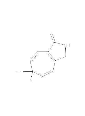 CC1(C)C=CC2=C(C=C1)C(=O)NC2